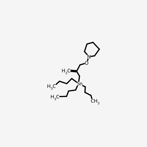 C=C(CON1CCCCC1)[CH2][Sn]([CH2]CCC)([CH2]CCC)[CH2]CCC